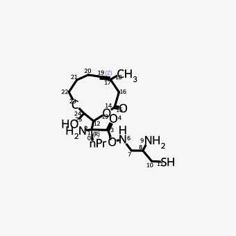 CCC[C@](N)(C(=O)ONCC(N)CS)C1OC(=O)C/C(C)=C\CCCCC1O